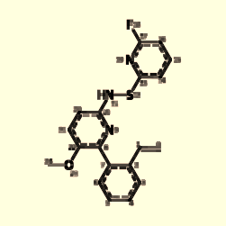 C=Cc1ccccc1-c1nc(NSc2cccc(F)n2)ccc1OC